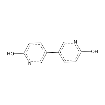 Oc1ccc(-c2ccc(O)nc2)cn1